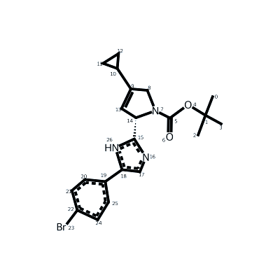 CC(C)(C)OC(=O)N1CC(C2CC2)=C[C@H]1c1ncc(-c2ccc(Br)cc2)[nH]1